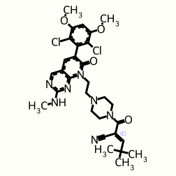 CNc1ncc2cc(-c3c(Cl)c(OC)cc(OC)c3Cl)c(=O)n(CCN3CCN(C(=O)/C(C#N)=C/C(C)(C)C)CC3)c2n1